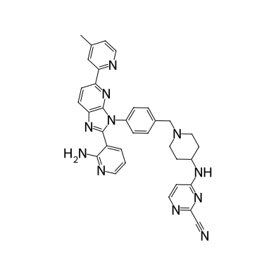 Cc1ccnc(-c2ccc3nc(-c4cccnc4N)n(-c4ccc(CN5CCC(Nc6ccnc(C#N)n6)CC5)cc4)c3n2)c1